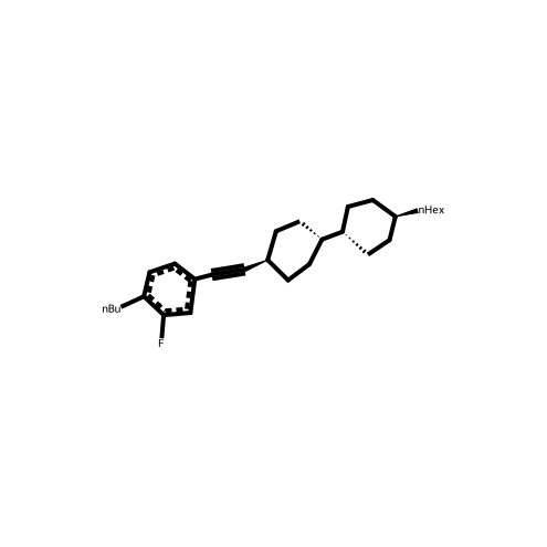 CCCCCC[C@H]1CC[C@H]([C@H]2CC[C@H](C#Cc3ccc(CCCC)c(F)c3)CC2)CC1